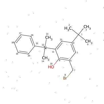 CC(C)(C)c1cc(CBr)c(O)c([Si](C)(C)c2ccccc2)c1